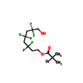 CCC(C)(C)C(=O)OCCC(F)(F)CC(F)(F)CC(F)(F)CO